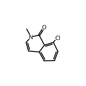 Cn1ccc2cccc(Cl)c2c1=O